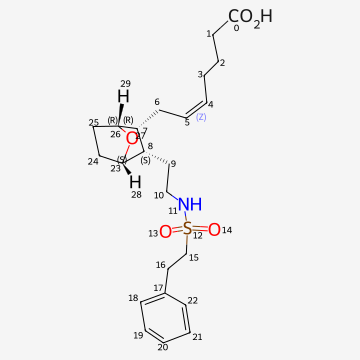 O=C(O)CCC/C=C\C[C@@H]1[C@H](CCNS(=O)(=O)CCc2ccccc2)[C@@H]2CC[C@H]1O2